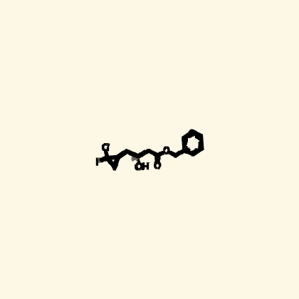 O=C(C[C@H](O)CC1CC1(F)Cl)OCc1ccccc1